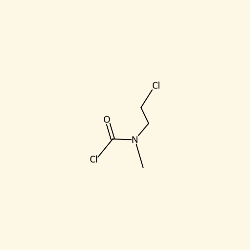 CN(CCCl)C(=O)Cl